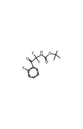 CC(C)(C)OC(=O)NC(F)(F)C(=O)c1ccccc1F